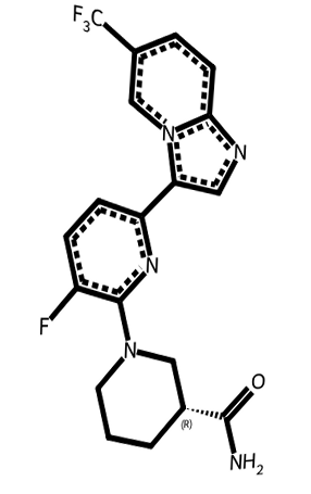 NC(=O)[C@@H]1CCCN(c2nc(-c3cnc4ccc(C(F)(F)F)cn34)ccc2F)C1